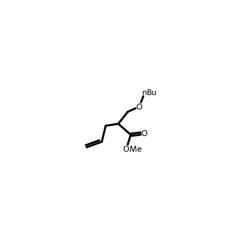 C=CCC(COCCCC)C(=O)OC